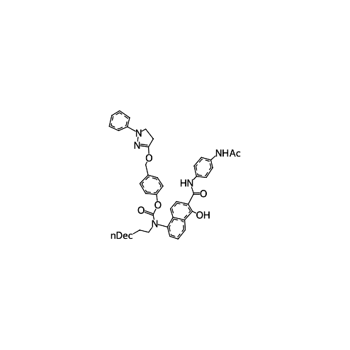 CCCCCCCCCCCCN(C(=O)Oc1ccc(COC2=NN(c3ccccc3)CC2)cc1)c1cccc2c(O)c(C(=O)Nc3ccc(NC(C)=O)cc3)ccc12